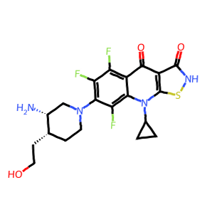 N[C@@H]1CN(c2c(F)c(F)c3c(=O)c4c(=O)[nH]sc4n(C4CC4)c3c2F)CC[C@@H]1CCO